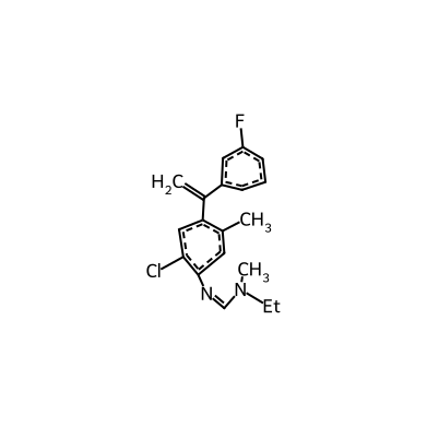 C=C(c1cccc(F)c1)c1cc(Cl)c(/N=C\N(C)CC)cc1C